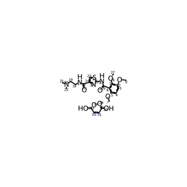 COc1ccc(OC)c(C(=O)Nc2nc(C(=O)NCCN(C)C)cs2)c1OC.O=C(O)/C=C\C(=O)O